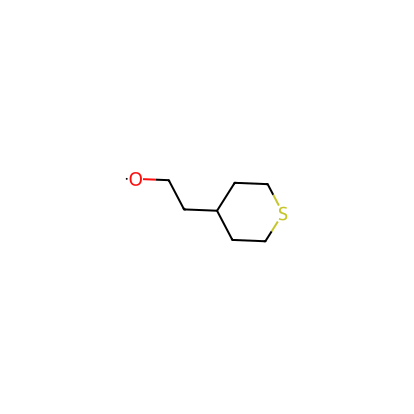 [O]CCC1CCSCC1